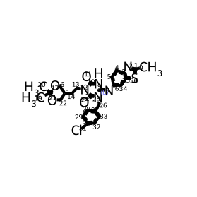 Cc1nc2ccc(/N=c3\[nH]c(=O)n(CCC4COC(C)(C)OC4)c(=O)n3Cc3ccc(Cl)cc3)cc2s1